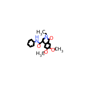 CCn1cc(C(=O)Nc2ccccc2)c2cc(OC)c(OC)cc2c1=O